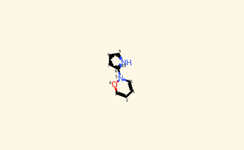 [C]1=CC=CON1c1ccc[nH]1